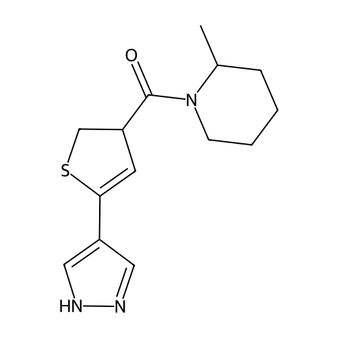 CC1CCCCN1C(=O)C1C=C(c2cn[nH]c2)SC1